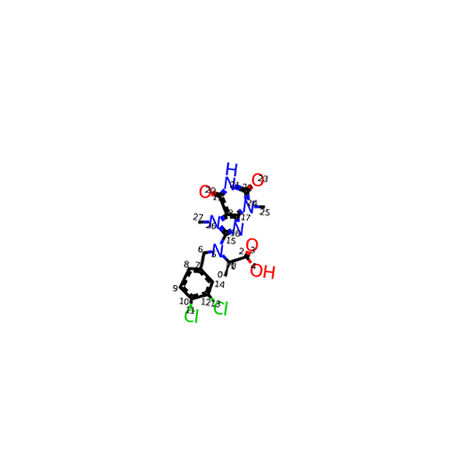 C[C@H](C(=O)O)N(Cc1ccc(Cl)c(Cl)c1)c1nc2c(c(=O)[nH]c(=O)n2C)n1C